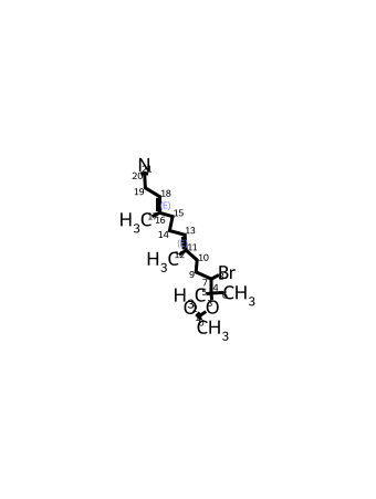 CC(=O)OC(C)(C)C(Br)CC/C(C)=C/CC/C(C)=C/CC#N